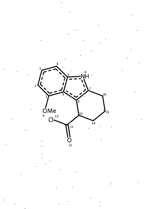 COc1cccc2[nH]c3c(c12)C(C(=O)Cl)CCC3